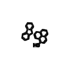 Oc1ccc2cccc3c2c1C=CC3.c1ccc2c(c1)Cc1ccccc1-2